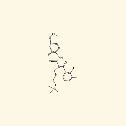 C[Si](C)(C)CCOCN(C(=O)Nc1ccc(SC(F)(F)F)cc1F)C(=O)c1cccc(F)c1F